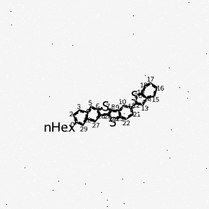 CCCCCCc1ccc2cc3sc4c5cc(-c6cc7ccccc7s6)ccc5sc4c3cc2c1